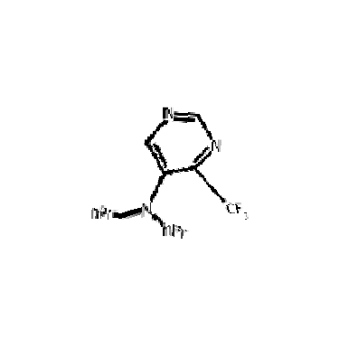 CCCN(CCC)c1cncnc1C(F)(F)F